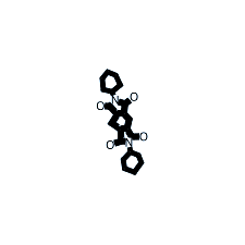 O=c1c2cc3c(=O)n(C4CCCCC4)c(=O)c3cc2c(=O)n1C1CCCCC1